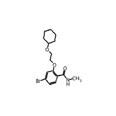 CNC(=O)c1ccc(Br)cc1OCCOC1CCCCC1